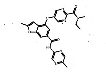 CCN(C)C(=O)c1ncc(Oc2cc(C(=O)Nc3cnc(C)cn3)cc3oc(C)cc23)cn1